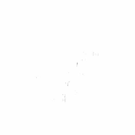 CC(C)(C)[Si](OC[C@H]1OC[C@@H](n2cc(C=CCl)c(=O)[nH]c2=O)O1)(c1ccccc1)c1ccccc1